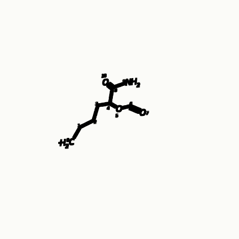 [CH2]CCCC(OC=O)C(N)=O